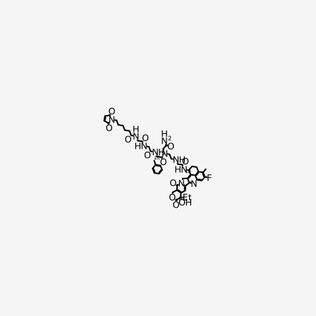 CC[C@@]1(O)C(=O)OCc2c1cc1n(c2=O)Cc2c-1nc1cc(F)c(C)c3c1c2[C@@H](NC(=O)CNCCN(CC(N)=O)C(=O)[C@H](Cc1ccccc1)NC(=O)CNC(=O)CNC(=O)CCCCCN1C(=O)C=CC1=O)CC3